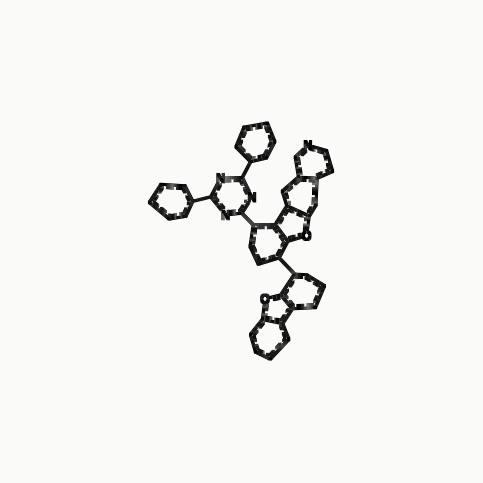 c1ccc(-c2nc(-c3ccccc3)nc(-c3ccc(-c4cccc5c4oc4ccccc45)c4oc5cc6ccncc6cc5c34)n2)cc1